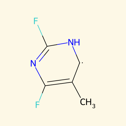 CC1=C(F)N=C(F)N[CH]1